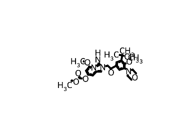 CCOC(=O)Oc1cc(OC)n2c(=N)n(CC(=O)c3cc(N4CCOCC4)c(OC)c(C(C)(C)C)c3)cc2c1